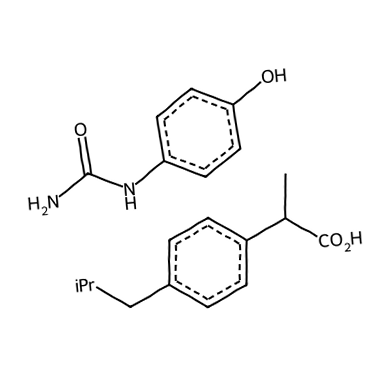 CC(C)Cc1ccc(C(C)C(=O)O)cc1.NC(=O)Nc1ccc(O)cc1